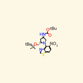 CC(C)(C)OC(=O)N[C@@H]1C[C@@H](CO[Si](C)(C)C(C)(C)C)N(c2c([N+](=O)[O-])ccc3scnc23)C1